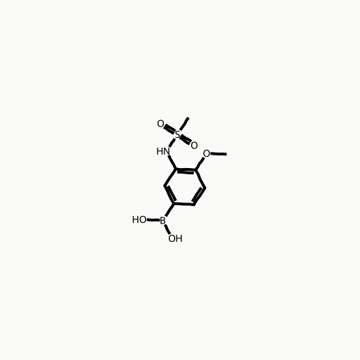 COc1ccc(B(O)O)cc1NS(C)(=O)=O